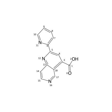 O=C(O)c1cc(-c2ccccn2)nc2ccncc12